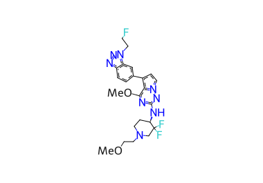 COCCN1CC[C@@H](Nc2nc(OC)c3c(-c4ccc5nnn(CCF)c5c4)ccn3n2)C(F)(F)C1